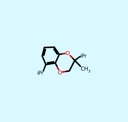 CC(C)c1cccc2c1OCC(C)(C(C)C)O2